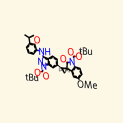 COc1ccc2c(c1)[C@]1(C[C@H]1c1ccc3c(Nc4cccc5c4OCC5C)nn(C(=O)OC(C)(C)C)c3c1)C(=O)N2C(=O)OC(C)(C)C